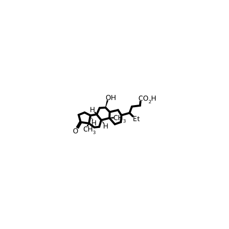 CCC(CCC(=O)O)C1CC[C@@]2(C)C(C1)[C@H](O)C[C@@H]1[C@@H]2CC[C@]2(C)C(=O)CC[C@@H]12